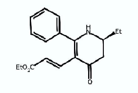 CCOC(=O)/C=C/C1=C(c2ccccc2)N[C@@H](CC)CC1=O